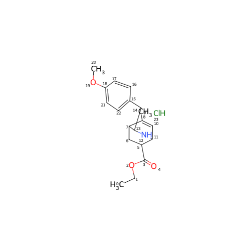 CCOC(=O)C1CC2C(C)=CC1NC2Cc1ccc(OC)cc1.Cl